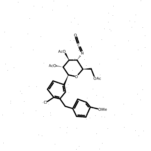 COc1ccc(Cc2cc([C@@H]3O[C@H](COC(C)=O)[C@@H](N=C=O)[C@H](OC(C)=O)[C@H]3OC(C)=O)ccc2Cl)cc1